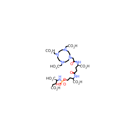 O=C(O)CCC(NP(=O)(O)OCCC(NC(=O)CC[C@@H](NC(=O)CN1CCN(CC(=O)O)CCN(CC(=O)O)CCN(CC(=O)O)CC1)C(=O)O)C(=O)O)C(=O)O